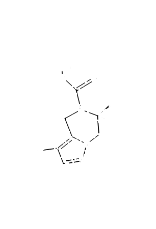 C[C@H]1Cn2ncc(O)c2CN1C(=O)OC(C)(C)C